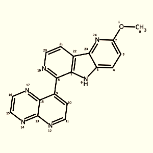 COc1ccc2[nH]c3c(-c4ccnc5nccnc45)nccc3c2n1